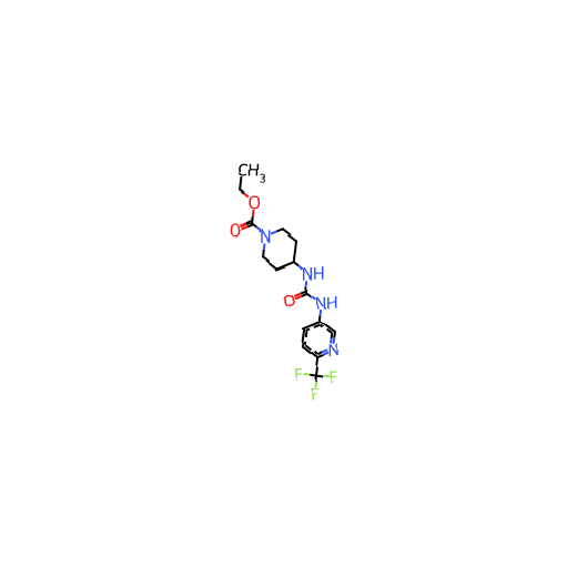 CCOC(=O)N1CCC(NC(=O)Nc2ccc(C(F)(F)F)nc2)CC1